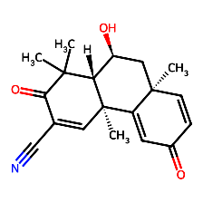 CC1(C)C(=O)C(C#N)=C[C@]2(C)C3=CC(=O)C=C[C@]3(C)C[C@H](O)[C@@H]12